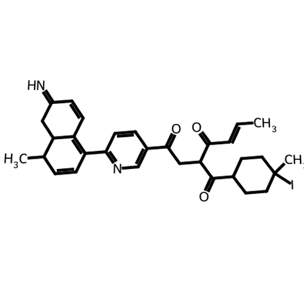 C/C=C/C(=O)C(CC(=O)c1ccc(C2=C3C=CC(=N)CC3C(C)C=C2)nc1)C(=O)C1CCC(C)(I)CC1